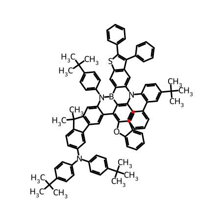 CC(C)(C)c1ccc(N2B3c4cc5sc(-c6ccccc6)c(-c6ccccc6)c5cc4N(c4ccc(C(C)(C)C)cc4-c4ccccc4)c4cc5c(oc6ccccc65)c(c43)-c3cc4c(cc32)C(C)(C)c2ccc(N(c3ccc(C(C)(C)C)cc3)c3ccc(C(C)(C)C)cc3)cc2-4)cc1